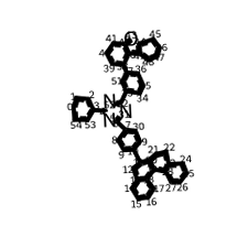 c1ccc(-c2nc(-c3ccc(-c4cc5ccccc5c5c4ccc4ccccc45)cc3)nc(-c3cccc(-c4cccc5oc6ccccc6c45)c3)n2)cc1